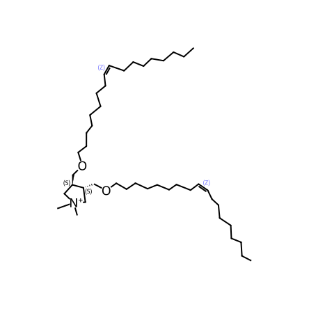 CCCCCCCC/C=C\CCCCCCCCOC[C@@H]1C[N+](C)(C)C[C@H]1COCCCCCCCC/C=C\CCCCCCCC